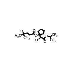 CCC(C(=O)OC(C(F)(F)F)C(F)(F)F)C1(OC(=O)CCC(C)(C)CC)CCCC1